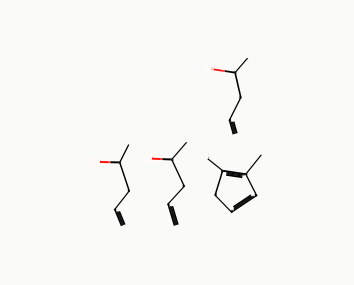 C=CCC(C)[O-].C=CCC(C)[O-].C=CCC(C)[O-].CC1=[C]([Zr+3])CC=C1